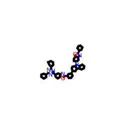 c1ccc(-c2nc(-c3ccccc3)nc(-c3ccc4oc(-c5cccc(-c6ccc7c(c6)c6ccccc6n7-c6ccc7oc(-c8ccccc8)nc7c6)c5)nc4c3)n2)cc1